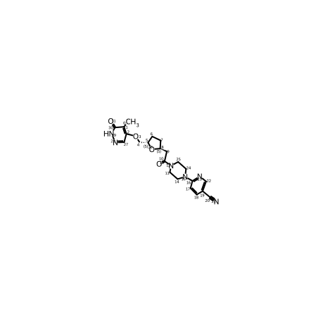 Cc1c(OC[C@@H]2CC[C@@H](CC(=O)N3CCN(c4ccc(C#N)cn4)CC3)O2)cn[nH]c1=O